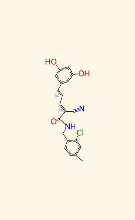 Cc1ccc(CNC(=O)/C(C#N)=C/C=C/c2cc(O)cc(O)c2)c(Cl)c1